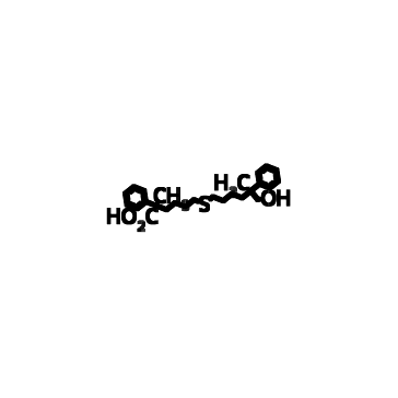 CC(CO)(CCCCSCCCCC(C)(C(=O)O)c1ccccc1)c1ccccc1